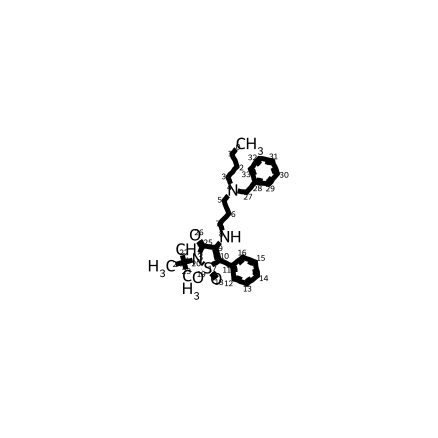 CCCCN(CCCNC1=C(c2ccccc2)S(=O)(=O)N(C(C)(C)C)C1=O)Cc1ccccc1